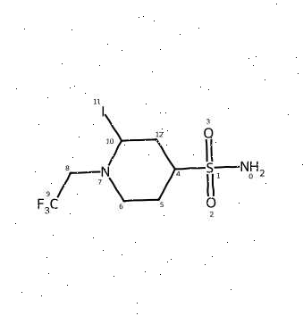 NS(=O)(=O)C1CCN(CC(F)(F)F)C(I)C1